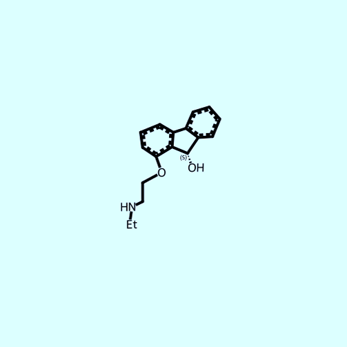 CCNCCOc1cccc2c1[C@@H](O)c1ccccc1-2